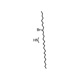 CCCCCCCCCCCCCCCCCC(Br)CCCCCCCC.CNC